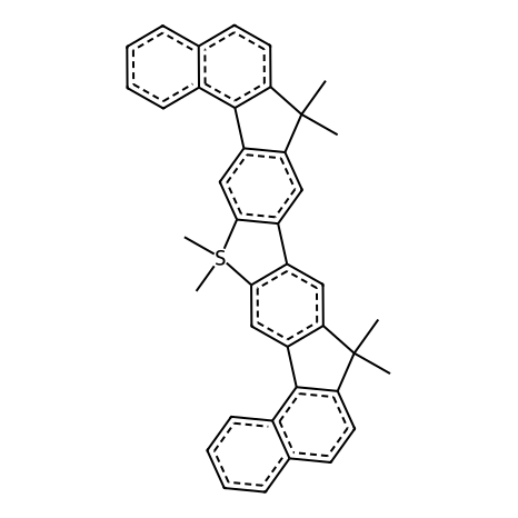 CC1(C)c2cc3c(cc2-c2c1ccc1ccccc21)S(C)(C)c1cc2c(cc1-3)C(C)(C)c1ccc3ccccc3c1-2